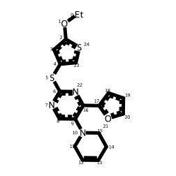 CCOc1cc(Sc2ncc(N3CC=CCC3)c(-c3ccco3)n2)cs1